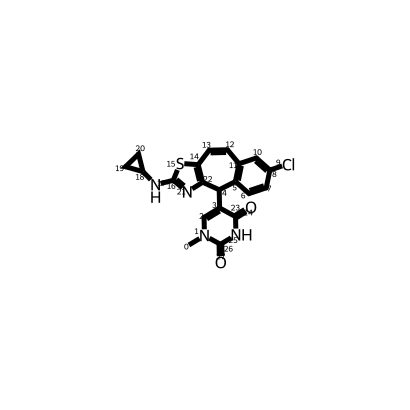 Cn1cc(C2c3ccc(Cl)cc3C=Cc3sc(NC4CC4)nc32)c(=O)[nH]c1=O